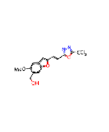 COc1cc2cc(C=Cc3nnc(C(Cl)(Cl)Cl)o3)oc2cc1CO